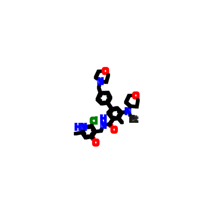 CCN(c1cc(-c2ccc(CN3CCOCC3)cc2)cc(C(=O)NCc2c(Cl)[nH]c(C)cc2=O)c1C)C1CCOCC1